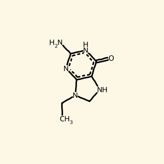 CCN1CNc2c1nc(N)[nH]c2=O